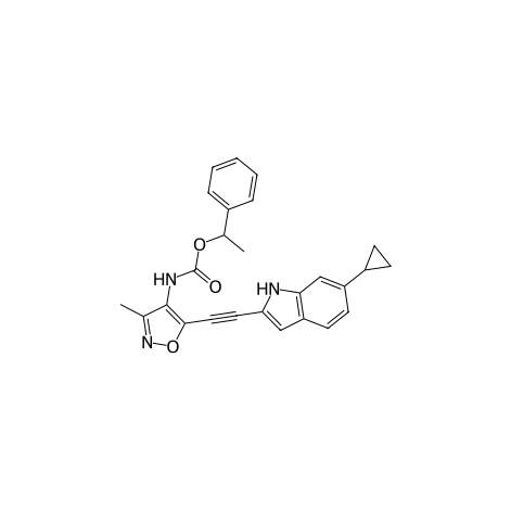 Cc1noc(C#Cc2cc3ccc(C4CC4)cc3[nH]2)c1NC(=O)OC(C)c1ccccc1